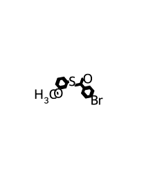 COc1cccc(SCC(C=O)c2ccc(Br)cc2)c1